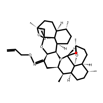 C=CCO/N=C(/C[C@H]1O[C@@H]2C[C@]3(C)CC[C@H]4[C@H](C)CC[C@@H]([C@H]1C)[C@@]24OO3)[C@H]1O[C@@H]2C[C@]3(C)CC[C@H]4[C@H](C)CC[C@@H]([C@H]1C)[C@@]24OO3